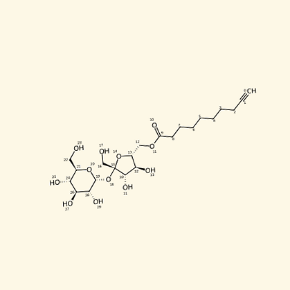 C#CCCCCCCCC(=O)OC[C@H]1O[C@@](CO)(O[C@H]2O[C@H](CO)[C@@H](O)[C@H](O)[C@H]2O)[C@@H](O)[C@@H]1O